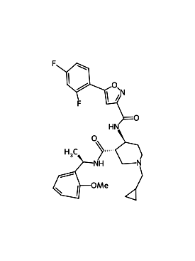 COc1ccccc1[C@@H](C)NC(=O)[C@H]1CN(CC2CC2)CC[C@@H]1NC(=O)c1cc(-c2ccc(F)cc2F)on1